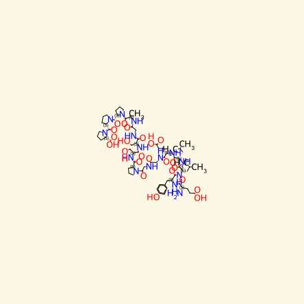 CC(C)C[C@H](NC(=O)[C@H](CC(C)C)NC(=O)[C@H](Cc1ccc(O)cc1)NC(=O)[C@@H](N)CCC(=O)O)C(=O)N[C@@H](CCC(=O)O)C(=O)NCC(=O)NCC(=O)N1CCC[C@H]1C(=O)N[C@@H](CO)C(=O)N[C@@H](CO)C(=O)NCC(=O)N[C@@H](C)C(=O)N1CCC[C@H]1C(=O)N1CCC[C@H]1C(=O)N1CCC[C@H]1C(=O)O